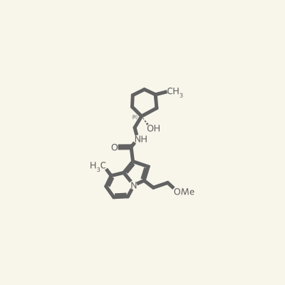 COCCc1cc(C(=O)NC[C@@]2(O)CCCC(C)C2)c2c(C)cccn12